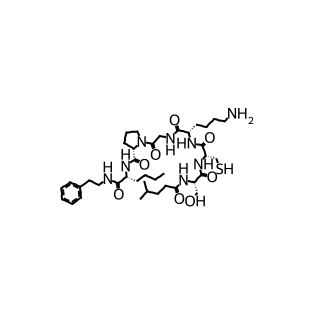 CCCC[C@@H](NC(=O)[C@@H]1CCCN1C(=O)CNC(=O)[C@H](CCCCN)NC(=O)[C@H](CS)NC(=O)[C@H](CO)NC(=O)CCC(C)C)C(=O)NCCc1ccccc1